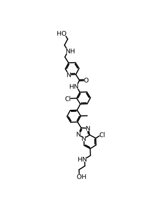 Cc1c(-c2nc3c(Cl)cc(CNCCO)cn3n2)cccc1-c1cccc(NC(=O)c2ccc(CNCCO)cn2)c1Cl